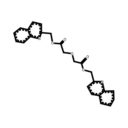 O=C(COCC(=O)OCc1ccc2ccccc2n1)OCc1ccc2ccccc2n1